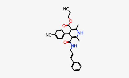 CC1=C(C(=O)NC/C=C/c2ccccc2)C(c2ccc(C#N)cc2)C(C(=O)OCCC#N)=C(C)N1